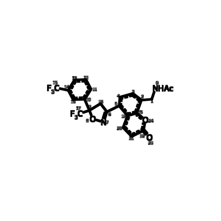 CC(=O)NCc1ccc(C2=NOC(c3cccc(C(F)(F)F)c3)(C(F)(F)F)C2)c2ccc(=O)oc12